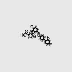 O=C(O)C1CCS(=O)(=O)N1Cc1cc(COc2ccc(-c3ccc(F)cc3F)cc2)ccc1F